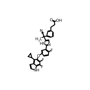 CC(C#N)(c1cccc(CCC(=O)O)c1)c1cnc(-c2cc(Oc3c(F)c(F)c4[nH]ccc4c3C3CC3)ccc2F)[nH]1